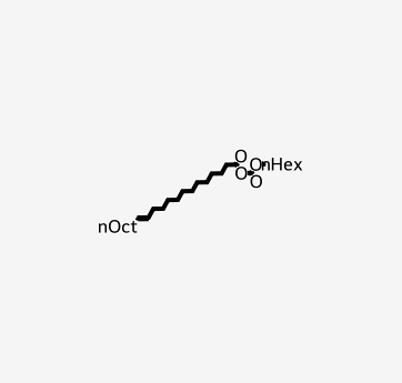 CCCCCCCCC=CCCCCCCCCCCCC(=O)OC(=O)OCCCCCC